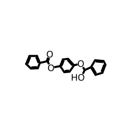 O=C(Oc1ccc(OC(O)c2ccccc2)cc1)c1ccccc1